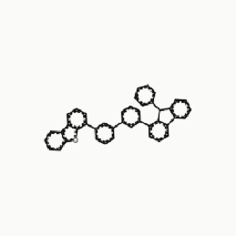 c1ccc(C2c3ccccc3-c3cccc(-c4cccc(-c5cccc(-c6cccc7c6oc6ccccc67)c5)c4)c32)cc1